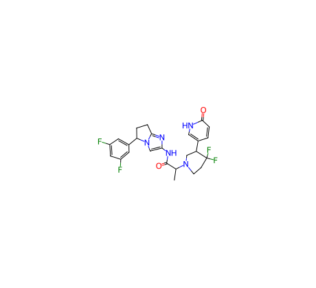 CC(C(=O)Nc1cn2c(n1)CCC2c1cc(F)cc(F)c1)N1CCC(F)(F)C(c2ccc(=O)[nH]c2)C1